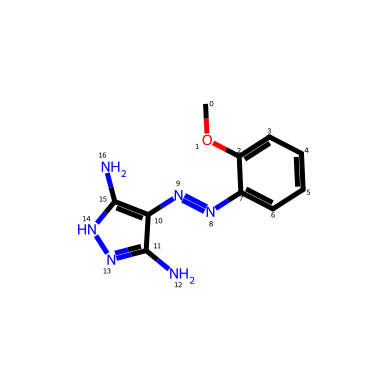 COc1ccccc1N=Nc1c(N)n[nH]c1N